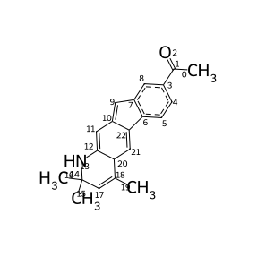 CC(=O)c1ccc2c(c1)C=C1C=C3NC(C)(C)C=C(C)C3C=C12